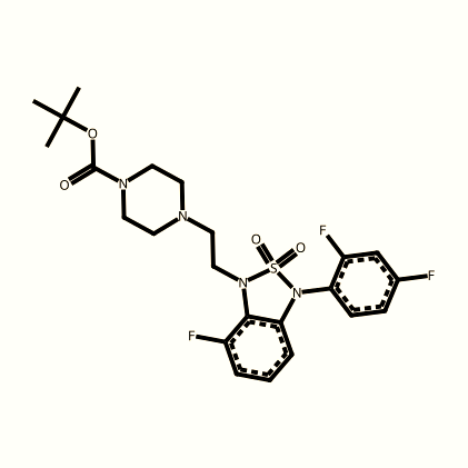 CC(C)(C)OC(=O)N1CCN(CCN2c3c(F)cccc3N(c3ccc(F)cc3F)S2(=O)=O)CC1